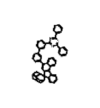 c1ccc(-c2nc(-c3ccccc3)nc(-c3cccc(-c4cccc(-c5cc6c(c7ccccc57)-c5ccccc5C65C6CC7CC(C6)CC5C7)c4)c3)n2)cc1